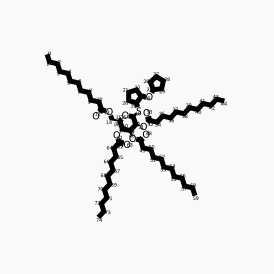 CCCCCCCCCCCC(=O)OC[C@H]1O[C@@H](SC2CCCC2OC2CCCC2)[C@H](OC(=O)CCCCCCCCCCC)[C@@H](OC(=O)CCCCCCCCCCC)[C@H]1OC(=O)CCCCCCCCCCC